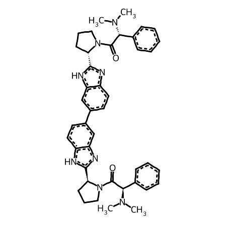 CN(C)[C@@H](C(=O)N1CCC[C@H]1c1nc2cc(-c3ccc4nc([C@@H]5CCCN5C(=O)[C@@H](c5ccccc5)N(C)C)[nH]c4c3)ccc2[nH]1)c1ccccc1